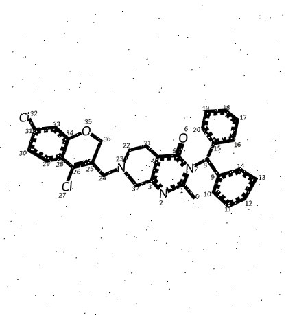 Cc1nc2c(c(=O)n1C(c1ccccc1)c1ccccc1)CCN(CC1=C(Cl)c3ccc(Cl)cc3OC1)C2